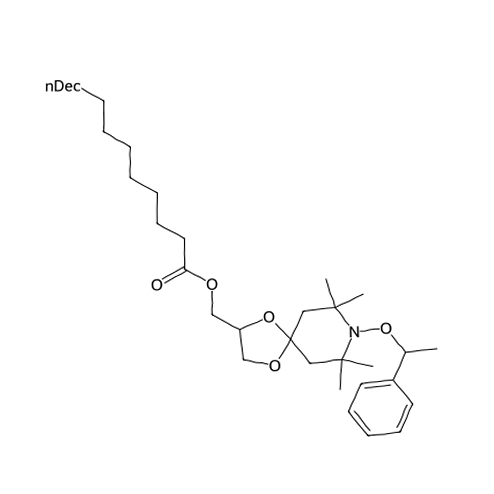 CCCCCCCCCCCCCCCCCC(=O)OCC1COC2(CC(C)(C)N(OC(C)c3ccccc3)C(C)(C)C2)O1